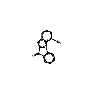 O=C1c2ccccc2-n2c1cc1cccc([N+](=O)[O-])c12